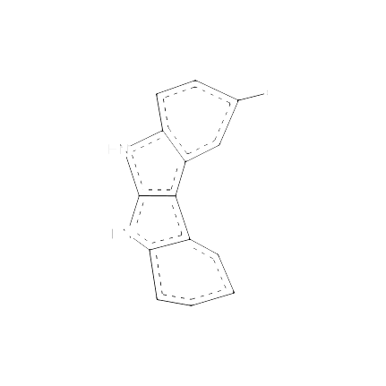 Clc1ccc2[nH]c3[nH]c4ccccc4c3c2c1